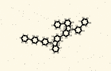 c1ccc(-c2ccc(-c3ccc(-n4c5ccccc5c5cc(-c6ccc7c(c6)c6c(-c8ccccc8)cccc6n7-c6cccc(-c7ccccc7)c6)ccc54)cc3)cc2)cc1